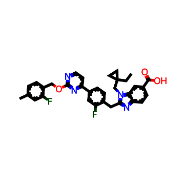 CCC1(Cn2c(Cc3ccc(-c4ccnc(OCc5ccc(C)cc5F)n4)cc3F)nc3ccc(C(=O)O)cc32)CC1